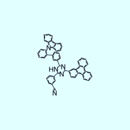 N#Cc1cccc(C2=NC(c3ccc4c5ccccc5c5ccccc5c4c3)=NC(c3cccc(-c4ccccc4-n4c5ccccc5c5ccccc54)c3)N2)c1